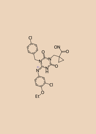 CCOc1ccc(/N=c2\[nH]c(=O)n(CC3(C(=O)N=O)CC3)c(=O)n2Cc2ccc(Cl)cc2)cc1Cl